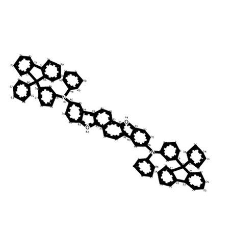 c1ccc(N(c2cccc(C3(c4ccccc4)c4ccccc4-c4ccccc43)c2)c2ccc3oc4c(ccc5c4ccc4c6cc(N(c7ccccc7)c7cccc(C8(c9ccccc9)c9ccccc9-c9ccccc98)c7)ccc6oc45)c3c2)cc1